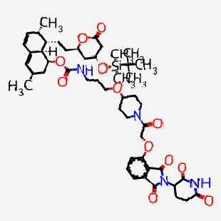 C[C@H]1C=C2C=C[C@H](C)[C@H](CC[C@@H]3C[C@@H](O[Si](C)(C)C(C)(C)C)CC(=O)O3)[C@H]2[C@@H](OC(=O)NCCCOC2CCN(C(=O)COc3cccc4c3C(=O)N(C3CCC(=O)NC3=O)C4=O)CC2)C1